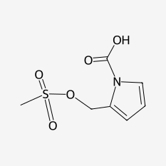 CS(=O)(=O)OCc1cccn1C(=O)O